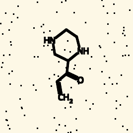 C=CC(=O)C1CNCCN1